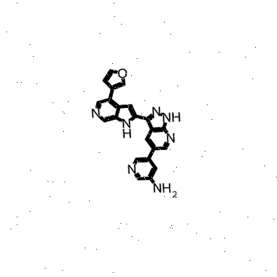 Nc1cncc(-c2cnc3[nH]nc(-c4cc5c(-c6ccoc6)cncc5[nH]4)c3c2)c1